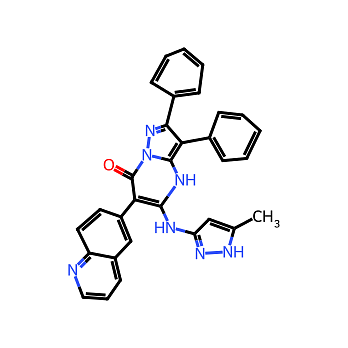 Cc1cc(Nc2[nH]c3c(-c4ccccc4)c(-c4ccccc4)nn3c(=O)c2-c2ccc3ncccc3c2)n[nH]1